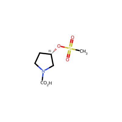 CS(=O)(=O)O[C@H]1CCN(C(=O)O)C1